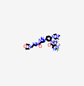 C[C@H]1CN(c2ccc(-n3cc(C(=O)NCCCN4CCOCC4)nn3)cc2NC(=O)c2cnc(F)nc2C(F)(F)F)CCN1C